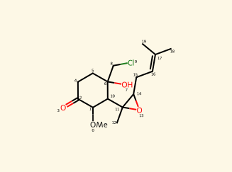 COC1C(=O)CCC(O)(CCl)C1C1(C)OC1CC=C(C)C